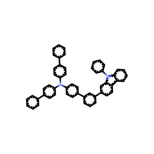 c1ccc(-c2ccc(N(c3ccc(-c4ccccc4)cc3)c3ccc(-c4cccc(-c5ccc6c7ccccc7n(-c7ccccc7)c6c5)c4)cc3)cc2)cc1